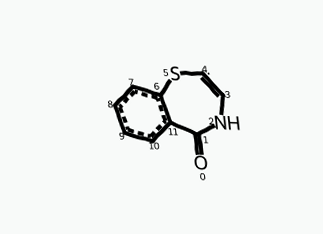 O=C1NC=[C]Sc2ccccc21